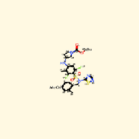 COc1ccc(CN(c2ncns2)S(=O)(=O)c2c(F)cc(N[C@H]3CCN(C(=O)OC(C)(C)C)C3)c(C)c2F)c(C)c1